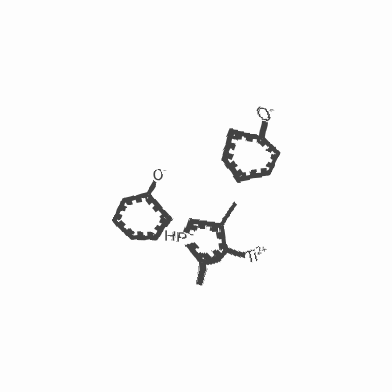 Cc1c[pH]c(C)[c]1[Ti+2].[O-]c1ccccc1.[O-]c1ccccc1